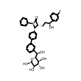 O=C1[C@H](CC[C@H](O)c2ccc(F)cc2)[C@H](c2ccc(-c3cccc([C@@H](O)[C@H]4O[C@H](O)[C@H](O)[C@@H](O)[C@@H]4O)c3)cc2)N1c1ccccc1